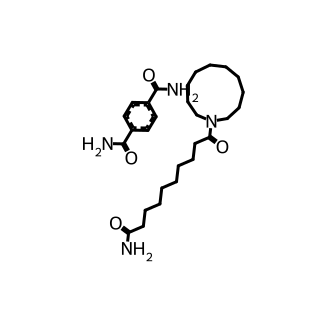 NC(=O)CCCCCCCCC(=O)N1CCCCCCCCCC1.NC(=O)c1ccc(C(N)=O)cc1